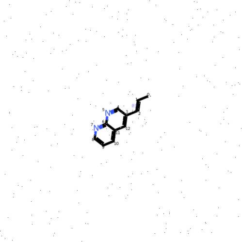 [CH2]/C=C/c1cnc2ncccc2c1